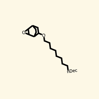 CCCCCCCCCCCCCCCCCCOC1CC2CCC1C1OC21